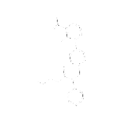 CCCCC(=O)N(Cc1ccc(-c2cccc(C(=O)O)c2C)cc1)c1ccccc1